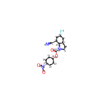 N#Cc1cc(F)cc2ccn(C(=O)Oc3ccc([N+](=O)[O-])cc3)c12